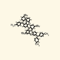 Cc1ccc(N(c2ccc(C)cc2)c2ccc3c(c2)Oc2cc(C(C)(C)C)cc4c2B3c2cc(C(C)(C)C)ccc2N4c2ccc(N(c3ccc(C)cc3)c3ccc(C(C)(C)C)cc3)c3c2oc2ccccc23)cc1